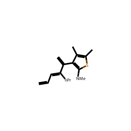 C=C/C=C(\CCC)C(=C)c1c(NC)sc(C)c1C